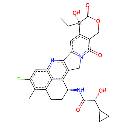 CC[Si@@]1(O)C(=O)OCc2c1cc1n(c2=O)Cc2c-1nc1cc(F)c(C)c3c1c2[C@@H](NC(=O)[C@H](O)C1CC1)CC3